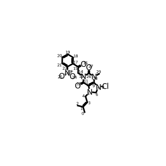 CC(C)=CCN1CN(Cl)c2c1c(=O)n(CC(=O)c1ccccc1[N+](=O)[O-])c(=O)n2C